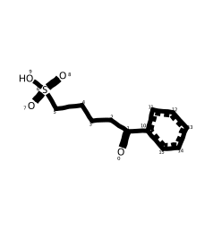 O=C(CCCCS(=O)(=O)O)c1ccccc1